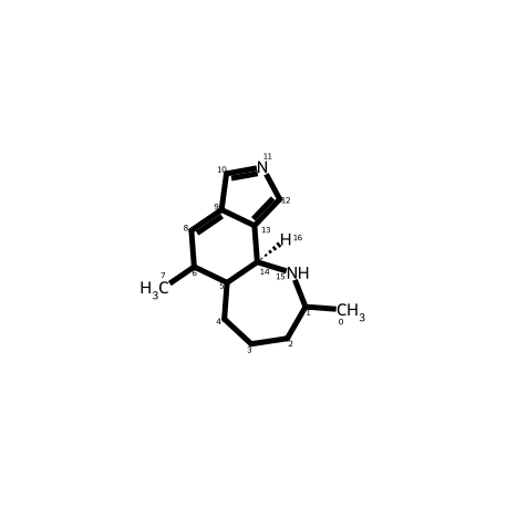 CC1CCCC2C(C)C=C3C=NC=C3[C@H]2N1